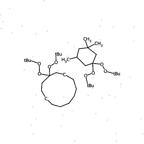 CC(C)(C)OOC1(OOC(C)(C)C)CCCCCCCCCCC1.CC1CC(C)(C)CC(OOC(C)(C)C)(OOC(C)(C)C)C1